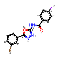 O=C(Nc1nnc(-c2cccc(Br)c2)o1)c1ccc(I)cc1